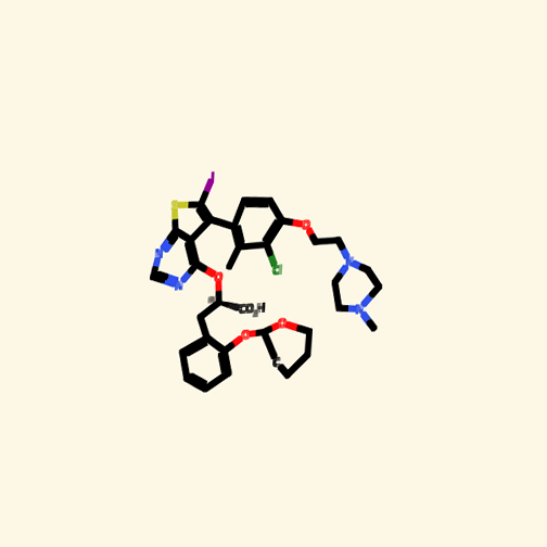 Cc1c(-c2c(I)sc3ncnc(O[C@H](Cc4ccccc4OC4CCCCO4)C(=O)O)c23)ccc(OCCN2CCN(C)CC2)c1Cl